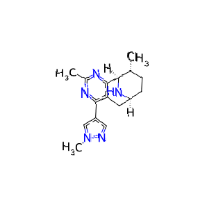 Cc1nc(-c2cnn(C)c2)c2c(n1)[C@@H]1N[C@@H](CC[C@H]1C)C2